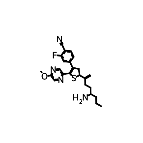 C=C(CCC(N)CCC)C1CC(c2ccc(C#N)c(F)c2)=C(c2cnc(OC)cn2)S1